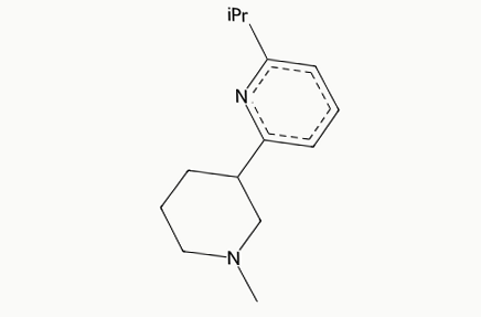 CC(C)c1cccc(C2CCCN(C)C2)n1